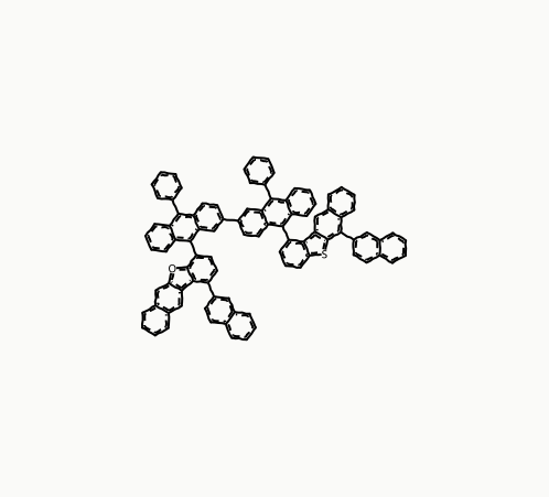 c1ccc(-c2c3ccccc3c(-c3ccc(-c4ccc5ccccc5c4)c4c3oc3cc5ccccc5cc34)c3cc(-c4ccc5c(-c6cccc7sc8c(-c9ccc%10ccccc%10c9)c9ccccc9cc8c67)c6ccccc6c(-c6ccccc6)c5c4)ccc23)cc1